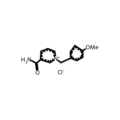 COc1ccc(C[n+]2cccc(C(N)=O)c2)cc1.[Cl-]